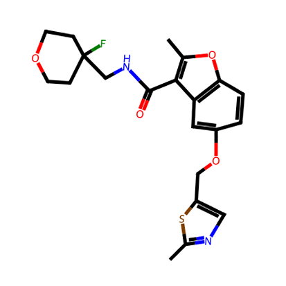 Cc1ncc(COc2ccc3oc(C)c(C(=O)NCC4(F)CCOCC4)c3c2)s1